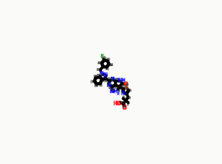 CC(C)(Cc1csc(C2(C)C(=O)Nc3nc(-c4nn(Cc5cccc(F)c5)c5ccccc45)nc(N)c32)n1)C(=O)O